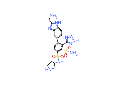 NCc1nc2cc(-c3ccc(S(=O)(=O)NC4CCNC4)c(S(N)(=O)=O)c3-c3nn[nH]n3)ccc2[nH]1